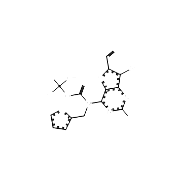 CC(C)(C)OC(=O)N(Cc1ccco1)c1nc(Cl)nc2c(Br)c(C=O)sc12